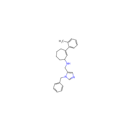 Cc1ccccc1C1=CC(NCc2cncn2Cc2ccccc2)CCCC1